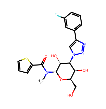 CN(C(=O)c1cccs1)[C@@H]1O[C@H](CO)[C@H](O)[C@H](n2cc(-c3cccc(F)c3)nn2)[C@H]1O